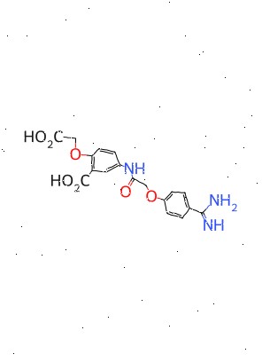 N=C(N)c1ccc(OCC(=O)Nc2ccc(OCC(=O)O)c(C(=O)O)c2)cc1